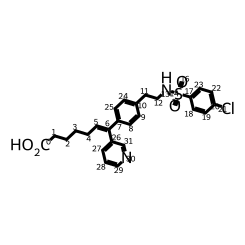 O=C(O)CCCCC=C(c1ccc(CCNS(=O)(=O)c2ccc(Cl)cc2)cc1)c1cccnc1